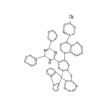 N#Cc1ccc(-c2ccc(-c3cc4c(cc3C3=NC(c5ccccc5)=NC(c5ccccc5)N3)C3(c5ccccc5S4)c4ccccc4-c4ccccc43)c3ccccc23)cc1